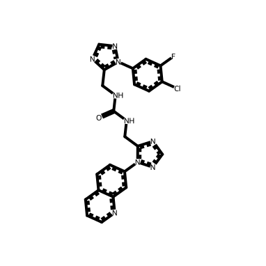 O=C(NCc1ncnn1-c1ccc(Cl)c(F)c1)NCc1ncnn1-c1ccc2cccnc2c1